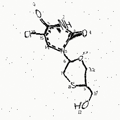 O=c1[nH]c(=O)n(C2CSC(CO)CO2)cc1Cl